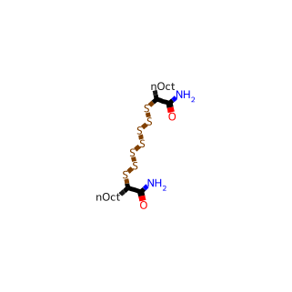 CCCCCCCCC(SSSSSSSC(CCCCCCCC)C(N)=O)C(N)=O